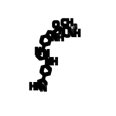 CC1CNCCN1C(=O)c1cc2ccc(-c3nccc(Nc4ccc(-c5cn[nH]c5)cc4)n3)cc2[nH]1